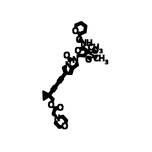 C[C@@](CCN1Cc2cc(C#CC#CC3(COC(=O)CN4CCOCC4)CC3)cn2C1=O)(C(=O)NOC1CCCCO1)S(C)(=O)=O